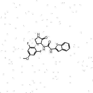 COc1cc(F)c([C@@H]2CNC(=O)C2NC(=O)Nc2cc3ccccc3s2)c(F)c1